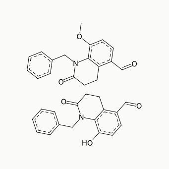 COc1ccc(C=O)c2c1N(Cc1ccccc1)C(=O)CC2.O=Cc1ccc(O)c2c1CCC(=O)N2Cc1ccccc1